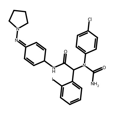 NC(=O)N(c1ccc(Cl)cc1)C(C(=O)NC1C=CC(=NN2CCCC2)C=C1)c1ccccc1I